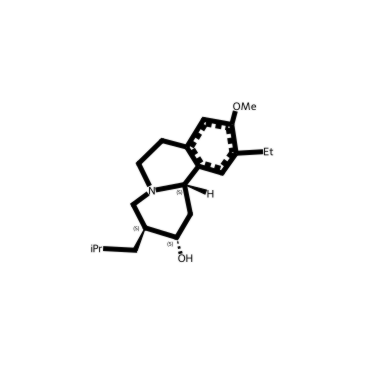 CCc1cc2c(cc1OC)CCN1C[C@H](CC(C)C)[C@@H](O)C[C@@H]21